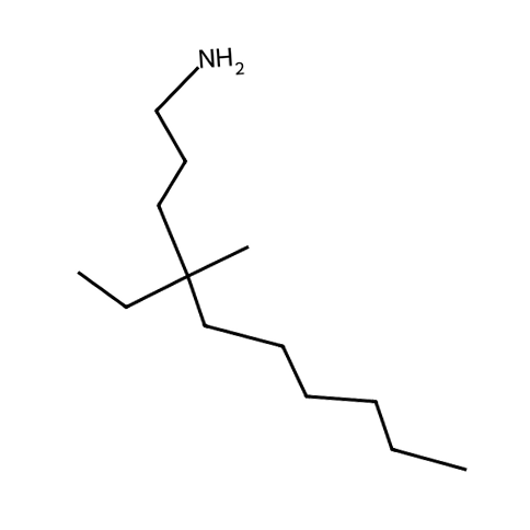 CCCCCCC(C)(CC)CCCN